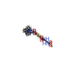 CCOC(=O)NCCCCNC(=O)OCCSSCCOC(=O)N1CCN(C(c2ccccc2)(c2ccccc2)c2ccccc2)CC1